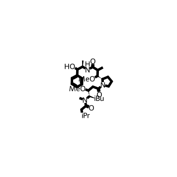 CC[C@H](C)[C@@H](C(CC(=O)N1CCC[C@H]1C(OC)C(C)C(=O)N[C@H](C)C(O)c1ccccc1)OC)N(C)C(=O)CC(C)C